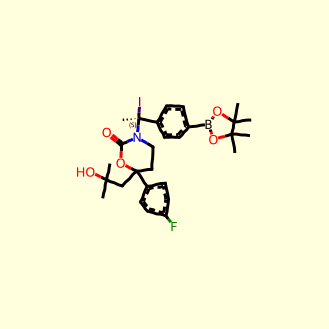 CC(C)(O)CC1(c2ccc(F)cc2)CCN([C@@](C)(I)c2ccc(B3OC(C)(C)C(C)(C)O3)cc2)C(=O)O1